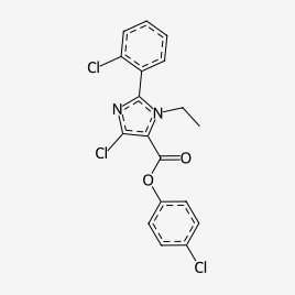 CCn1c(-c2ccccc2Cl)nc(Cl)c1C(=O)Oc1ccc(Cl)cc1